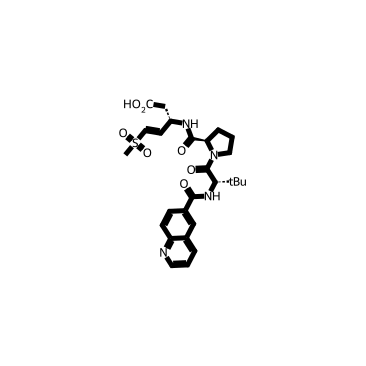 CC(C)(C)[C@H](NC(=O)c1ccc2ncccc2c1)C(=O)N1CCC[C@@H]1C(=O)N[C@H](/C=C/S(C)(=O)=O)CC(=O)O